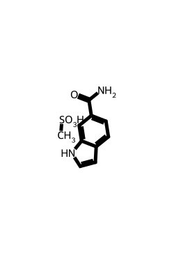 CS(=O)(=O)O.NC(=O)c1ccc2cc[nH]c2c1